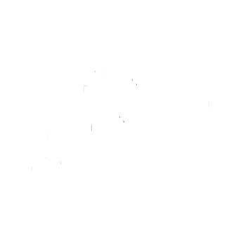 Cc1ccc2nc(C(F)(F)CC3COC(=O)O3)c(Cl)nc2c1